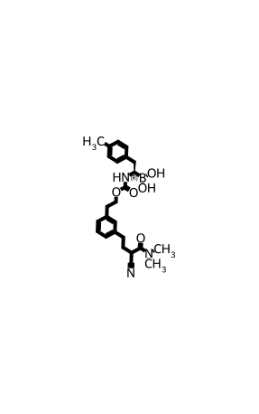 Cc1ccc(C[C@H](NC(=O)OCCc2cccc(CCC(C#N)C(=O)N(C)C)c2)B(O)O)cc1